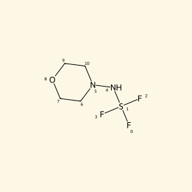 FS(F)(F)NN1CCOCC1